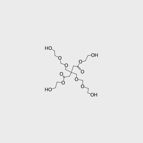 O=C(CC(COCOCCO)(COCOCCO)CC(=O)OCCO)OCCO